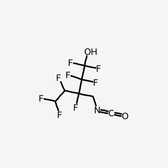 O=C=NCC(F)(C(F)C(F)F)C(F)(F)C(O)(F)F